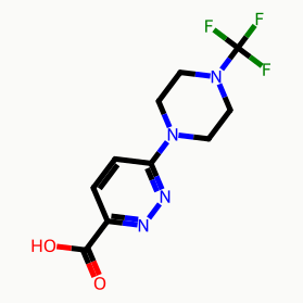 O=C(O)c1ccc(N2CCN(C(F)(F)F)CC2)nn1